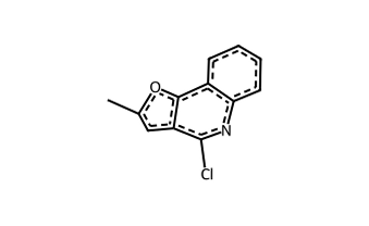 Cc1cc2c(Cl)nc3ccccc3c2o1